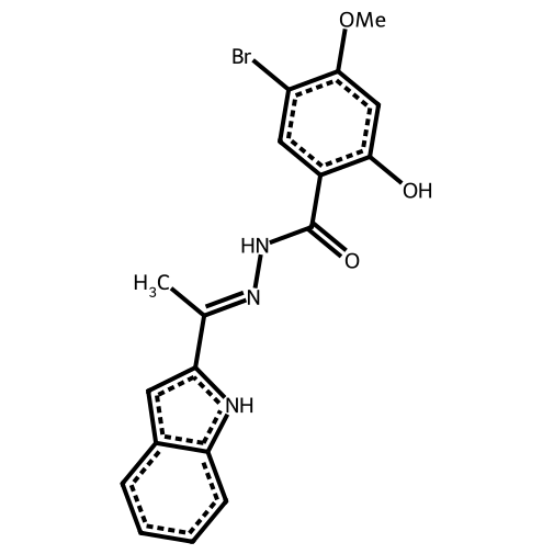 COc1cc(O)c(C(=O)N/N=C(\C)c2cc3ccccc3[nH]2)cc1Br